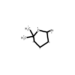 CC(C)C1CCCC(C)(C)O1